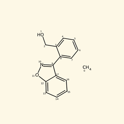 C.OCc1ccccc1-c1noc2ccccc12